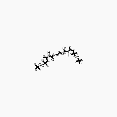 CC(CC(C)(C)OOC(C)(C)C)NC(=O)OCCOC(=O)NC(C)CC(C)(C)OOC(C)(C)C